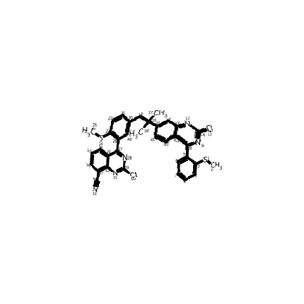 CSc1ccccc1-c1nc(Cl)nc2cc(C(C)(C)Cc3ccc(SC)c(-c4nc(Cl)nc5c(C#N)cccc45)c3)ccc12